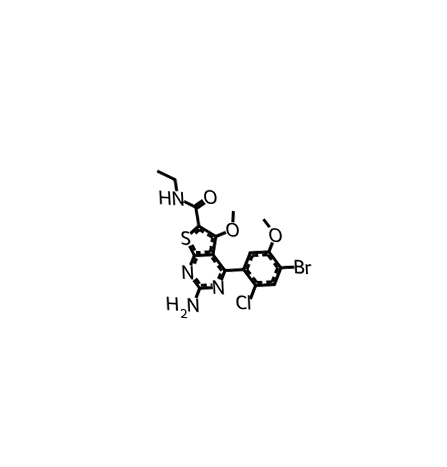 CCNC(=O)c1sc2nc(N)nc(-c3cc(OC)c(Br)cc3Cl)c2c1OC